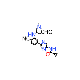 CN(C)CC(CC=O)Nc1cc(-c2cnc(NC(=O)C3CC3)cn2)ccc1C#N